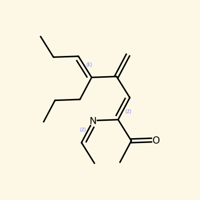 C=C(/C=C(\N=C/C)C(C)=O)/C(=C/CC)CCC